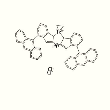 CC(C)C1=Cc2c(-c3c4ccccc4cc4ccccc34)cccc2[CH]1[Ti+2]1([CH]2C(C(C)C)=Cc3c(-c4c5ccccc5cc5ccccc45)cccc32)[CH2][CH2]1.[Cl-].[Cl-]